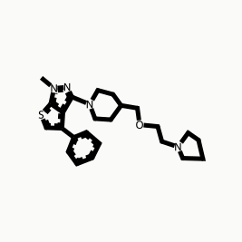 Cn1nc(N2CCC(COCCN3CCCC3)CC2)c2c(-c3ccccc3)csc21